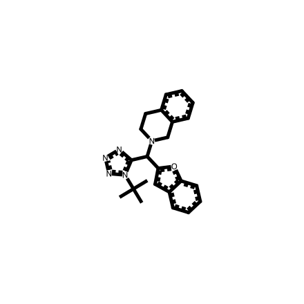 CC(C)(C)n1nnnc1C(c1cc2ccccc2o1)N1CCc2ccccc2C1